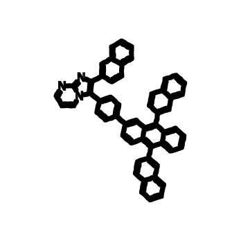 c1ccc2cc(-c3nc4ncccn4c3-c3ccc(-c4ccc5c(-c6ccc7ccccc7c6)c6ccccc6c(-c6ccc7ccccc7c6)c5c4)cc3)ccc2c1